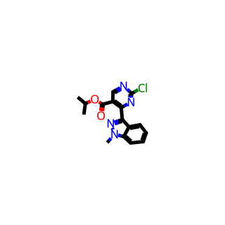 CC(C)OC(=O)c1cnc(Cl)nc1-c1nn(C)c2ccccc12